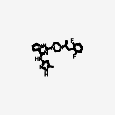 C=C(Cc1c(F)cccc1F)N1CCN(c2nc(Nc3cc(C)[nH]n3)c3cccn3n2)CC1